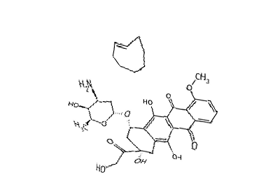 C1=C/CCCCCC/1.COc1cccc2c1C(=O)c1c(O)c3c(c(O)c1C2=O)C[C@@](O)(C(=O)CO)C[C@@H]3O[C@H]1C[C@H](N)[C@H](O)[C@H](C)O1